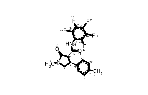 Cc1ccc([C@H]2CN(C)C(=O)[C@@H]2C(=O)Nc2c(F)c(F)c(F)c(F)c2F)cc1